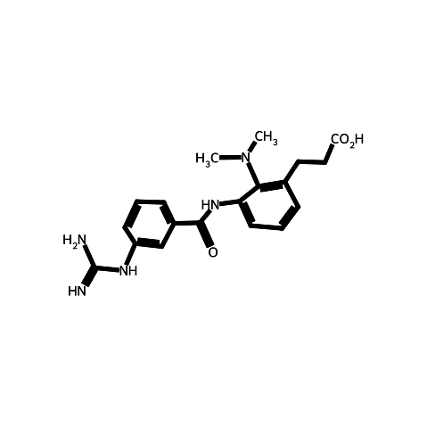 CN(C)c1c(CCC(=O)O)cccc1NC(=O)c1cccc(NC(=N)N)c1